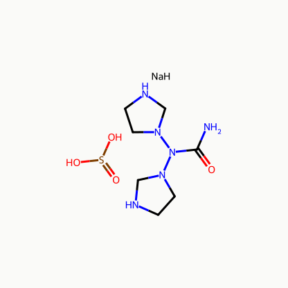 NC(=O)N(N1CCNC1)N1CCNC1.O=S(O)O.[NaH]